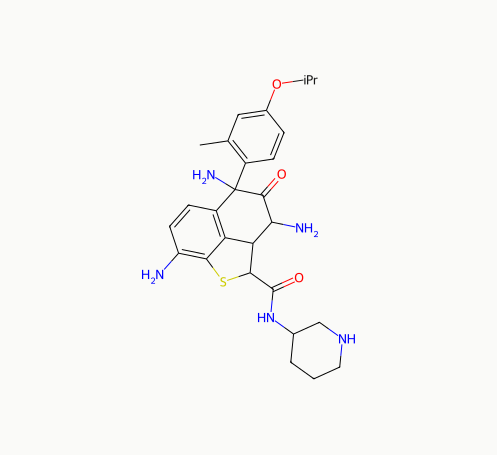 Cc1cc(OC(C)C)ccc1C1(N)C(=O)C(N)C2c3c1ccc(N)c3SC2C(=O)NC1CCCNC1